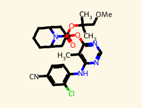 [C-]#[N+]c1ccc(Nc2ncnc(OC3CC4CCCC(C3)N4C(=O)OC(C)(C)COC)c2C)c(Cl)c1